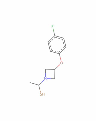 CC(S)N1CC(Oc2ccc(F)cc2)C1